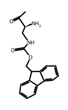 CC(=O)[C@@H](N)CNC(=O)OCC1c2ccccc2-c2ccccc21